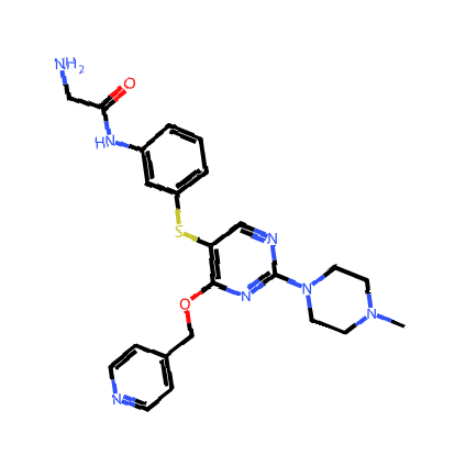 CN1CCN(c2ncc(Sc3cccc(NC(=O)CN)c3)c(OCc3ccncc3)n2)CC1